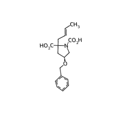 CC=CCC1(C(=O)O)C[C@H](OCc2ccccc2)CN1C(=O)O